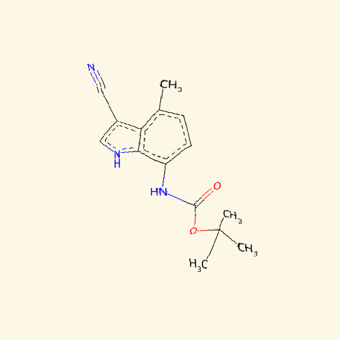 Cc1ccc(NC(=O)OC(C)(C)C)c2[nH]cc(C#N)c12